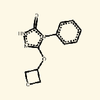 O=c1[nH]nc(OC2COC2)n1-c1ccccc1